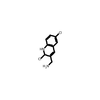 NCC1=Cc2cc(Cl)ccc2NC1Cl